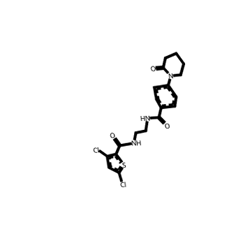 O=C(NCCNC(=O)c1sc(Cl)cc1Cl)c1ccc(N2CCCCC2=O)cc1